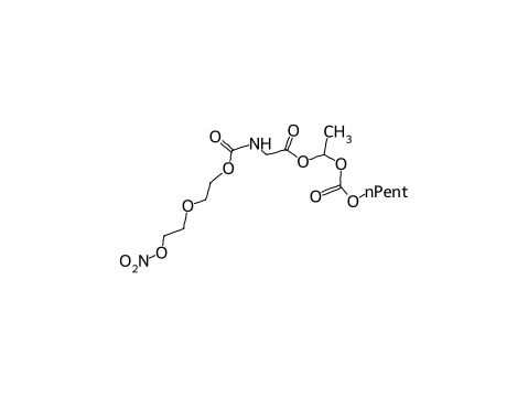 CCCCCOC(=O)OC(C)OC(=O)CNC(=O)OCCOCCO[N+](=O)[O-]